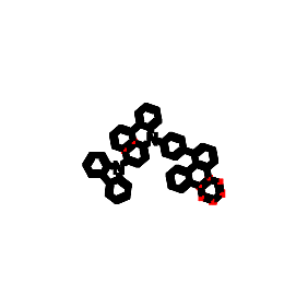 c1ccc(-c2ccccc2-c2c(-c3ccccc3)cccc2-c2ccc(N(c3ccc(-n4c5ccccc5c5ccccc54)cc3)c3ccccc3-c3ccccc3)cc2)cc1